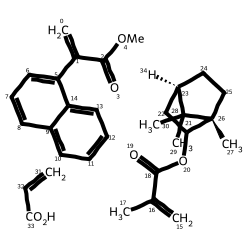 C=C(C(=O)OC)c1cccc2ccccc12.C=C(C)C(=O)OC1C[C@H]2CC[C@@]1(C)C2(C)C.C=CC(=O)O